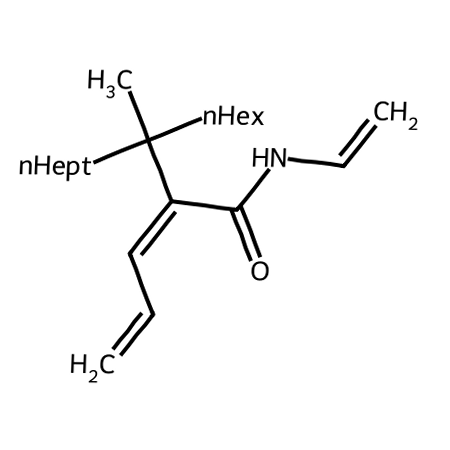 C=C/C=C(\C(=O)NC=C)C(C)(CCCCCC)CCCCCCC